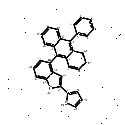 C1=Cc2c(c(-c3ccccc3)c3ccccc3c2-c2cccc3oc(-c4cccs4)cc23)CC1